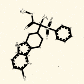 COC(=O)C(C)(C1CCc2c([nH]c3ccc(Cl)nc23)C1)S(=O)(=O)c1ccccc1